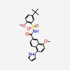 COc1ccc(C(C)(C)C)cc1S(=O)(=O)NC(=O)c1ccc2c(-n3cccn3)ccc(OC)c2c1